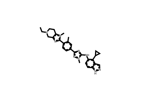 CCN1CCc2c(nc(-c3ccc(-c4nc(Nc5ccc6[nH]ncc6c5C5CC5)n(C)n4)cc3C)n2C)C1